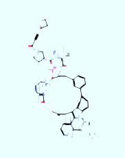 CCn1c(-c2cccnc2[C@H](C)OC)c2c3cc(ccc31)-c1cccc(c1)C[C@H](NC(=O)[C@H](C(C)C)N(C)C(=O)[C@H]1CCN(C(=O)C#C[C@@H]3CCO3)C1)C(=O)N1CCC[C@H](N1)C(=O)OCC(C)(C)C2